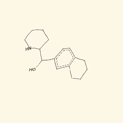 OC(c1ccc2c(c1)CCCC2)C1CCCCN1